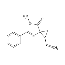 C=CC1CC1(/N=C/c1ccccc1)C(=O)OP